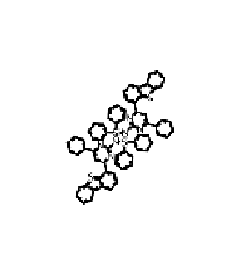 c1ccc(-c2cc(-c3cccc4c3sc3ccccc34)nc(N3[Si](c4ccccc4)(c4ccccc4)N(c4nc(-c5ccccc5)cc(-c5cccc6c5sc5ccccc56)n4)[Si]3(c3ccccc3)c3ccccc3)n2)cc1